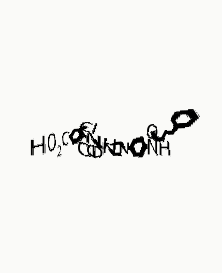 O=C(CCCc1ccccc1)Nc1ccc(N2CCN(C(=O)Nc3c(Cl)cc(C(=O)O)cc3Cl)CC2)cc1